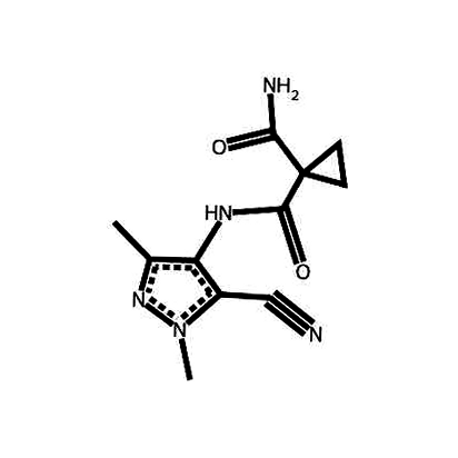 Cc1nn(C)c(C#N)c1NC(=O)C1(C(N)=O)CC1